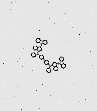 c1ccc(N(c2ccc(-c3ccc(N(c4ccccc4)c4ccc(-n5c6ccccc6c6ccccc65)c5ccccc45)cc3)cc2)c2ccc(-n3c4ccccc4c4ccccc43)c3ccccc23)cc1